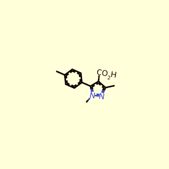 Cc1ccc(-c2c(C(=O)O)c(C)nn2C)cc1